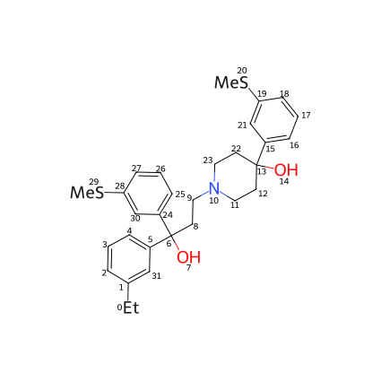 CCc1cccc(C(O)(CCN2CCC(O)(c3cccc(SC)c3)CC2)c2cccc(SC)c2)c1